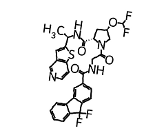 C[C@@H](NC(=O)[C@@H]1C[C@@H](OC(F)F)CN1C(=O)CNC(=O)c1ccc2c(c1)-c1ccccc1C2(F)F)c1cc2cnccc2s1